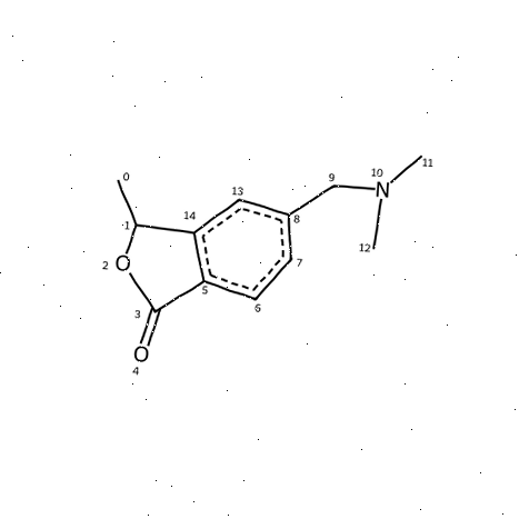 CC1OC(=O)c2ccc(CN(C)C)cc21